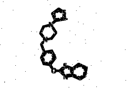 [c]1sccc1N1CCN(Cc2ccc(Oc3nc4ccccc4s3)cc2)CC1